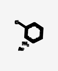 Clc1ccccc1.P.[Au]